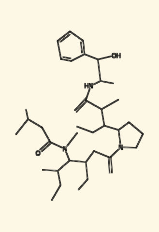 C=C(NC(C)C(O)c1ccccc1)C(C)C(CC)C1CCCN1C(=C)CC(CC)C(C(C)CC)N(C)C(=O)CC(C)C